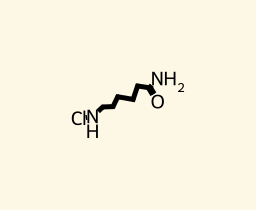 NC(=O)CCCCCNCl